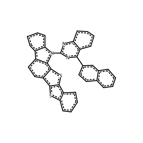 c1ccc2cc(-c3nc(-n4c5ccccc5c5ccc6c7sc8ccccc8c7sc6c54)nc4ccccc34)ccc2c1